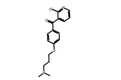 CN(C)CCCOc1ccc(C(=O)c2cccnc2Cl)cc1